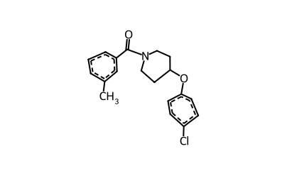 Cc1cccc(C(=O)N2CCC(Oc3ccc(Cl)cc3)CC2)c1